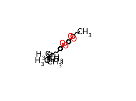 CCCC1COC(c2ccc(OC(=O)c3ccc(CCCC[Si](C)(C)C[Si](C)(C)C)cc3)cc2)OC1